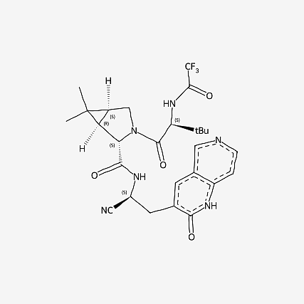 CC(C)(C)[C@H](NC(=O)C(F)(F)F)C(=O)N1C[C@H]2[C@@H]([C@H]1C(=O)N[C@H](C#N)Cc1cc3cnccc3[nH]c1=O)C2(C)C